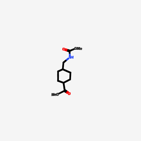 COC(=O)NCC1CCC(C(=O)OC)CC1